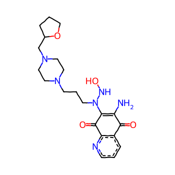 NC1=C(N(CCCN2CCN(CC3CCCO3)CC2)NO)C(=O)c2ncccc2C1=O